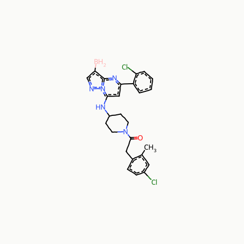 Bc1cnn2c(NC3CCN(C(=O)Cc4ccc(Cl)cc4C)CC3)cc(-c3ccccc3Cl)nc12